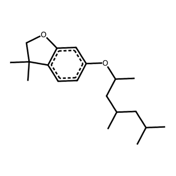 CC(C)CC(C)CC(C)Oc1ccc2c(c1)OCC2(C)C